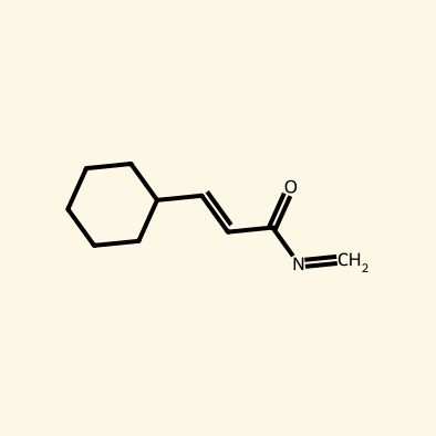 C=NC(=O)/C=C/C1CCCCC1